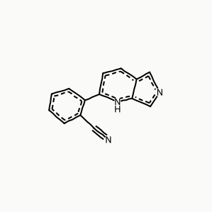 N#Cc1ccccc1-c1ccc2cncc-2[nH]1